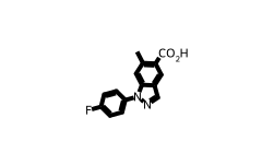 Cc1cc2c(cnn2-c2ccc(F)cc2)cc1C(=O)O